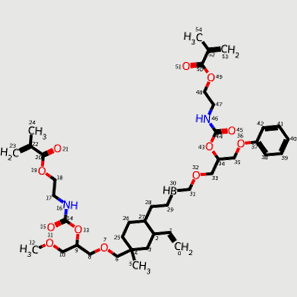 C=CC1CC(C)(COCC(COC)OC(=O)NCCOC(=O)C(=C)C)CCC1CCBCOCC(COc1ccccc1)OC(=O)NCCOC(=O)C(=C)C